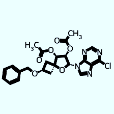 CC(=O)O[C@H]1[C@H](n2cnc3c(Cl)ncnc32)O[C@]2(C[C@@H](OCc3ccccc3)C2)[C@H]1OC(C)=O